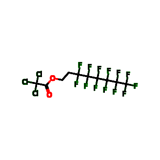 O=C(OCCC(F)(F)C(F)(F)C(F)(F)C(F)(F)C(F)(F)C(F)(F)F)C(Cl)(Cl)Cl